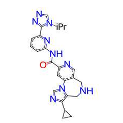 CC(C)n1cnnc1-c1cccc(NC(=O)c2cc3c(cn2)CNCc2c(C4CC4)ncn2-3)n1